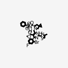 COC(=O)C1=C(CN2CC3(CC3)C[C@H]2C(=O)NS(=O)(=O)c2ccccc2)NC(c2nc(C)cs2)=N[C@H]1c1ccc(F)cc1Br